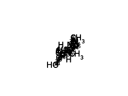 COc1cc(C(=O)NC(C)(C)COc2cccc3nc(C)cc(N)c23)ccc1OCCCO